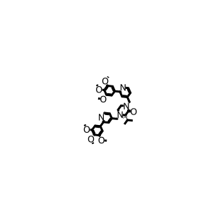 COc1cc(-c2cc(CN3CCN(Cc4ccnc(-c5cc(OC)c(OC)c(OC)c5)c4)[C@@H](C(C)C)C3=O)ccn2)cc(OC)c1OC